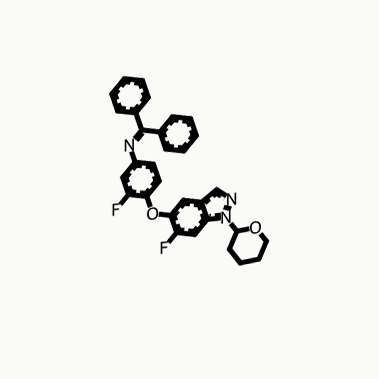 Fc1cc(N=C(c2ccccc2)c2ccccc2)ccc1Oc1cc2cnn(C3CCCCO3)c2cc1F